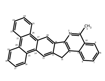 Cc1nc2c(c3ccccc13)Cc1cc3c4ccccc4c4ccccc4c3cc1-2